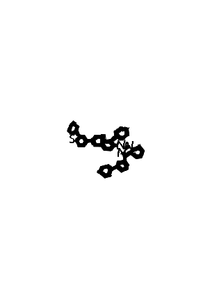 c1ccc(-c2cccc(-c3nc(-n4c5ccccc5c5c6ccc(-c7ccc8sc9ccccc9c8c7)cc6ccc54)nc4ccccc34)c2)cc1